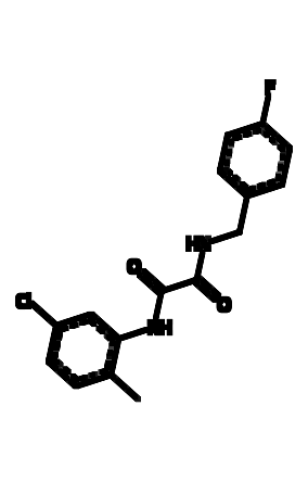 Cc1ccc(Cl)cc1NC(=O)C(=O)NCc1ccc(F)cc1